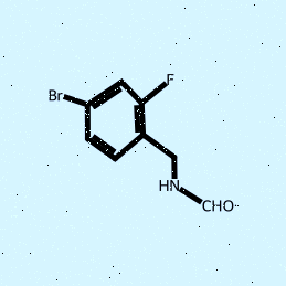 O=[C]NCc1ccc(Br)cc1F